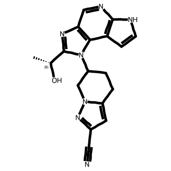 C[C@@H](O)c1nc2cnc3[nH]ccc3c2n1C1CCc2cc(C#N)nn2C1